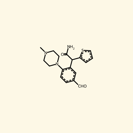 CN1CCN(c2ccc(C=O)cc2C(C(N)=O)c2cccs2)CC1